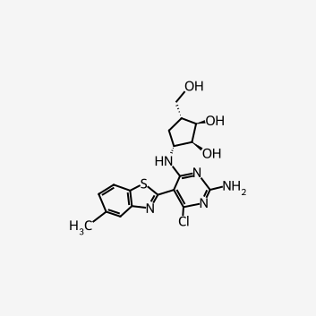 Cc1ccc2sc(-c3c(Cl)nc(N)nc3N[C@@H]3C[C@H](CO)[C@@H](O)[C@H]3O)nc2c1